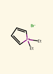 CC[P+]1(CC)C=CC=C1.[Br-]